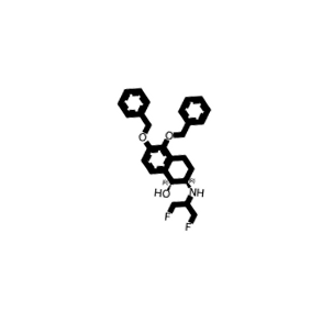 O[C@@H]1c2ccc(OCc3ccccc3)c(OCc3ccccc3)c2CC[C@H]1NC(CF)CF